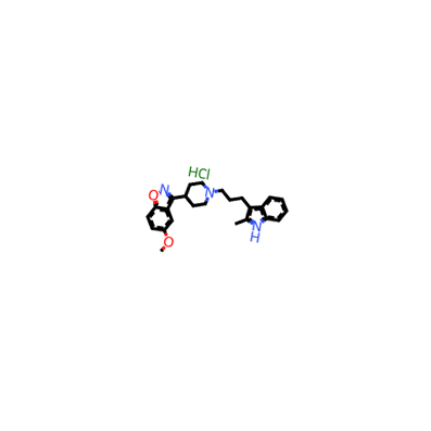 COc1ccc2onc(C3CCN(CCCc4c(C)[nH]c5ccccc45)CC3)c2c1.Cl